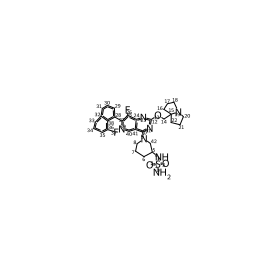 NS(=O)(=O)NC1CCCN(c2nc(OCC34CCCN3CCC4)nc3c(F)c(-c4cccc5cccc(F)c45)ncc23)C1